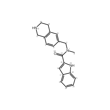 CN(Cc1ccc2c(c1)CCNC2)C(=O)c1cc2ccccc2[nH]1